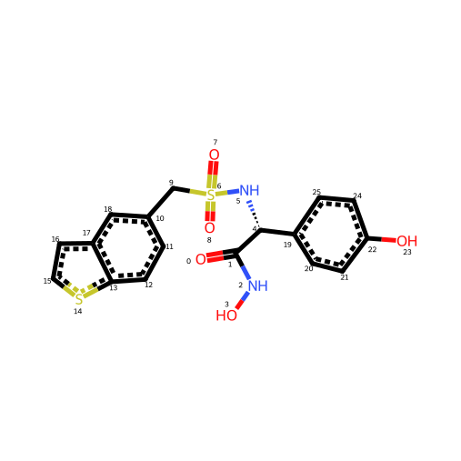 O=C(NO)[C@H](NS(=O)(=O)Cc1ccc2sccc2c1)c1ccc(O)cc1